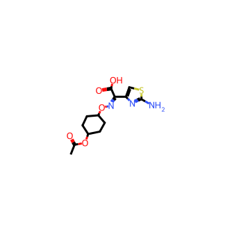 CC(=O)OC1CCC(ON=C(C(=O)O)c2csc(N)n2)CC1